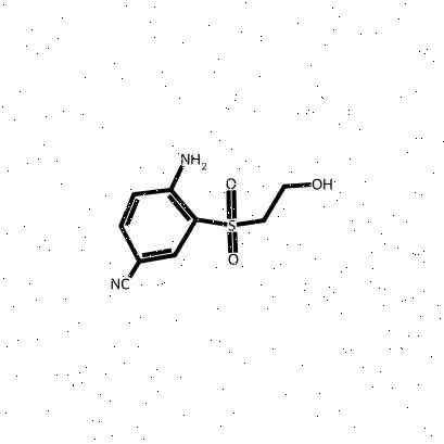 N#Cc1ccc(N)c(S(=O)(=O)CCO)c1